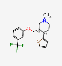 CN1CC[C@@H](c2cccs2)[C@H](COc2cccc(C(F)(F)F)c2)C1